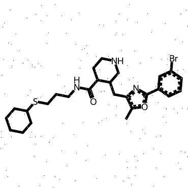 Cc1oc(-c2cccc(Br)c2)nc1CC1CNCCC1C(=O)NCCCSC1CCCCC1